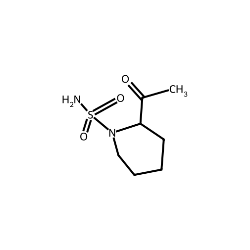 CC(=O)C1CCCCN1S(N)(=O)=O